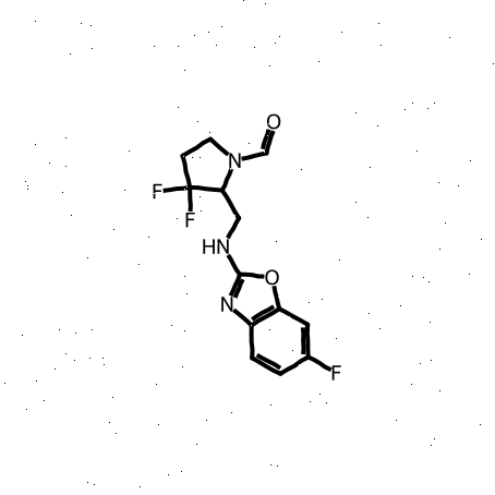 O=CN1CCC(F)(F)C1CNc1nc2ccc(F)cc2o1